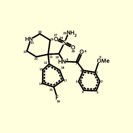 COc1ccccc1C(=O)NC(C1(c2ccc(F)cc2)CCNCC1)S(N)(=O)=O